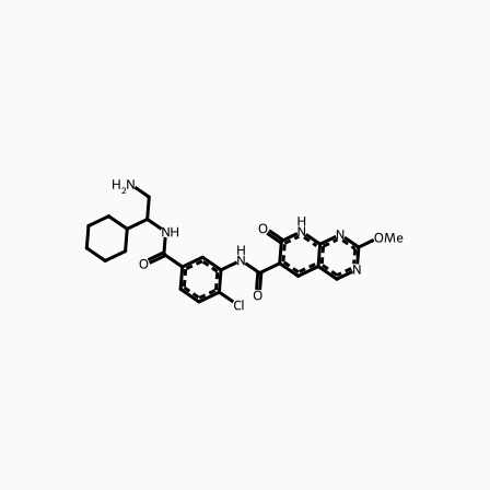 COc1ncc2cc(C(=O)Nc3cc(C(=O)NC(CN)C4CCCCC4)ccc3Cl)c(=O)[nH]c2n1